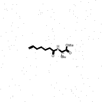 C=CCCCCC(=O)N[C@H](C(=O)OC)C(C)(C)C